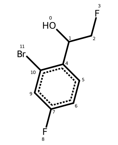 OC(CF)c1ccc(F)cc1Br